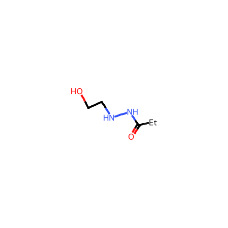 CCC(=O)NNCCO